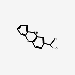 O=CC(Cl)c1ccc2c(c1)Nc1ccccc1O2